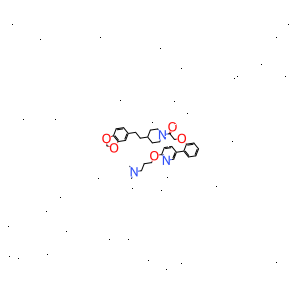 CN(C)CCCOc1ccc(-c2ccccc2OCC(=O)N2CCC(CCc3ccc4c(c3)OCO4)CC2)cn1